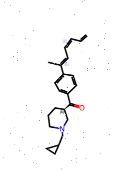 C=C/C=C\C=C(/C)c1ccc(C(=O)[C@@H]2CCCN(CC3CC3)C2)cc1